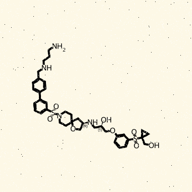 NCCCNCc1ccc(-c2cccc(S(=O)(=O)N3CCC4(CC3)C[C@@H](NC[C@H](O)COc3cccc(S(=O)(=O)C5(CO)CC5)c3)CO4)c2)cc1